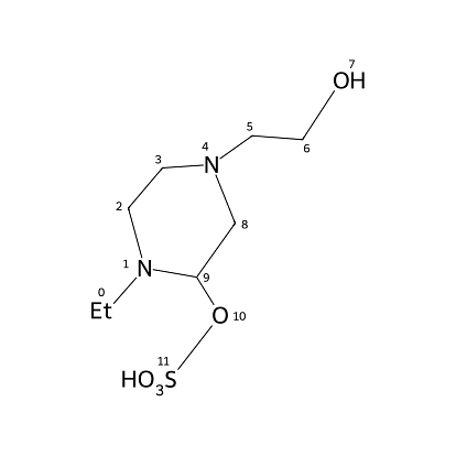 CCN1CCN(CCO)CC1OS(=O)(=O)O